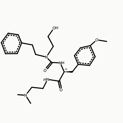 COc1ccc(C[C@H](NC(=O)N(CCO)CCc2ccccc2)C(=O)NCCN(C)C)cc1